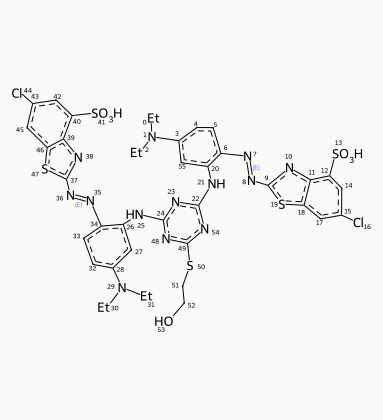 CCN(CC)c1ccc(/N=N/c2nc3c(S(=O)(=O)O)cc(Cl)cc3s2)c(Nc2nc(Nc3cc(N(CC)CC)ccc3/N=N/c3nc4c(S(=O)(=O)O)cc(Cl)cc4s3)nc(SCCO)n2)c1